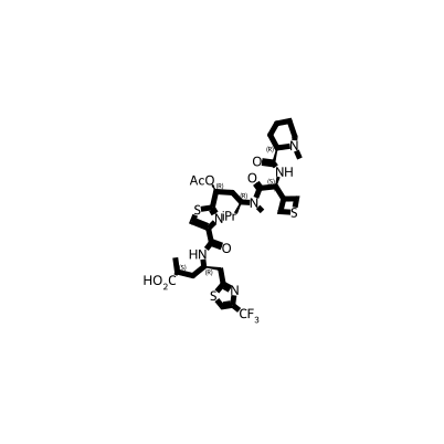 CC(=O)O[C@H](C[C@H](C(C)C)N(C)C(=O)[C@@H](NC(=O)[C@H]1CCCCN1C)C1CSC1)c1nc(C(=O)N[C@@H](Cc2nc(C(F)(F)F)cs2)C[C@H](C)C(=O)O)cs1